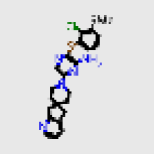 CSc1cccc(Sc2ncc(N3CCC4(CC3)Cc3cccnc3C4)nc2N)c1Cl